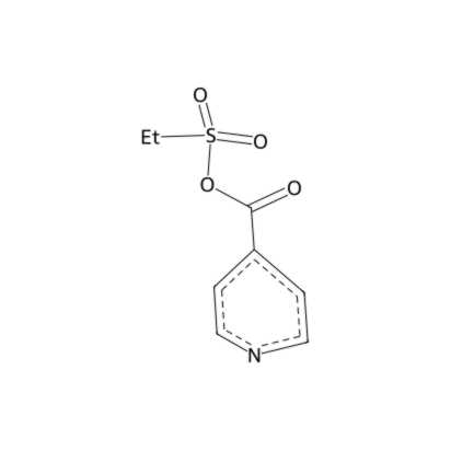 CCS(=O)(=O)OC(=O)c1ccncc1